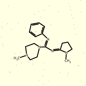 CN1CCN(C(N=C2CCCN2C)=Nc2ccccc2)CC1